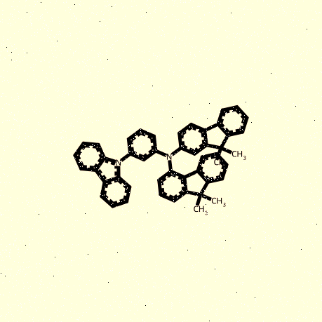 CC1(C)c2ccccc2-c2ccc(N(c3cccc(-n4c5ccccc5c5ccccc54)c3)c3cccc4c3-c3ccccc3C4(C)C)cc21